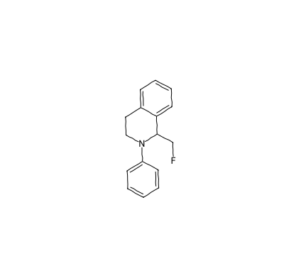 FCC1c2ccccc2CCN1c1ccccc1